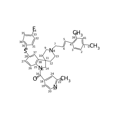 Cc1ccc(/C=C/CN2CCC3(CC2)CN(C(=O)c2ccnc(C)c2)c2ccc(Sc4ccc(F)cc4)cc23)c(C)c1